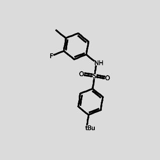 Cc1ccc(NS(=O)(=O)c2ccc(C(C)(C)C)cc2)cc1F